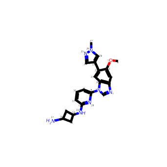 COc1cc2ncn(-c3cccc(NC4CC(N)C4)n3)c2cc1-c1cnn(C)c1